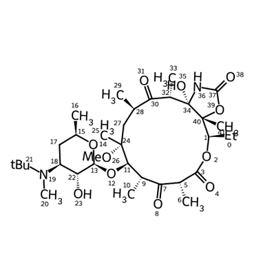 CC[C@H]1OC(=O)[C@H](C)C(=O)[C@H](C)[C@@H](O[C@@H]2O[C@H](C)C[C@H](N(C)C(C)(C)C)[C@H]2O)[C@](C)(OC)C[C@@H](C)C(=O)[C@H](C)[C@@]2(O)NC(=O)O[C@]12C